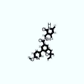 CCC1(C)Cc2cc(C(=O)NCc3c(C)cc(C)[nH]c3=O)cc(-c3ccc(OC)nc3)c2O1